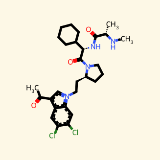 CN[C@@H](C)C(=O)N[C@H](C(=O)N1CCC[C@H]1CCn1cc(C(C)=O)c2cc(Cl)c(Cl)cc21)C1CCCCC1